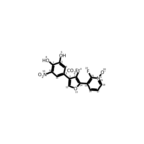 CCOC(=O)c1c(-c2cc(O)c(O)c([N+](=O)[O-])c2)coc1-c1ccc[n+]([O-])c1F